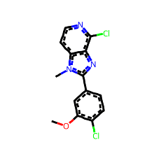 COc1cc(-c2nc3c(Cl)nccc3n2C)ccc1Cl